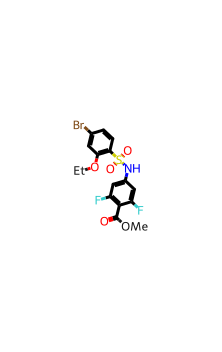 CCOc1cc(Br)ccc1S(=O)(=O)Nc1cc(F)c(C(=O)OC)c(F)c1